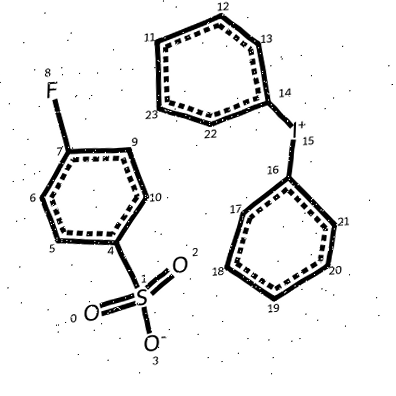 O=S(=O)([O-])c1ccc(F)cc1.c1ccc([I+]c2ccccc2)cc1